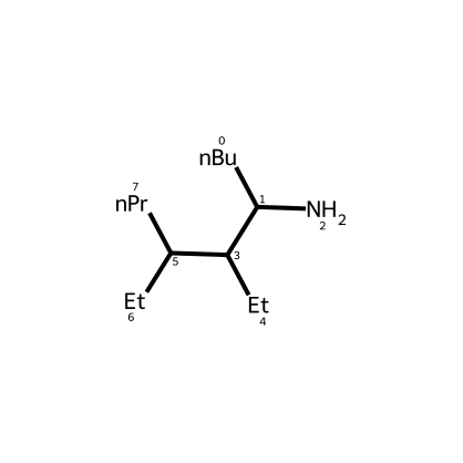 CCCCC(N)C(CC)C(CC)CCC